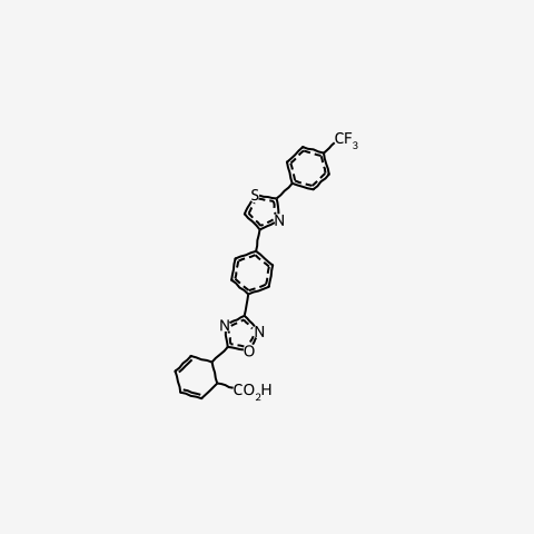 O=C(O)C1C=CC=CC1c1nc(-c2ccc(-c3csc(-c4ccc(C(F)(F)F)cc4)n3)cc2)no1